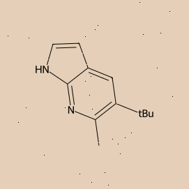 Cc1nc2[nH]ccc2cc1C(C)(C)C